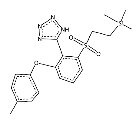 Cc1ccc(Oc2cccc(S(=O)(=O)CC[Si](C)(C)C)c2-c2nnn[nH]2)cc1